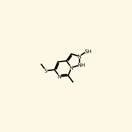 CSC1=CC2=CN(S)NN2C(C)=N1